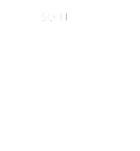 O=S(=O)(O)c1ccc2cc[c]cc2c1